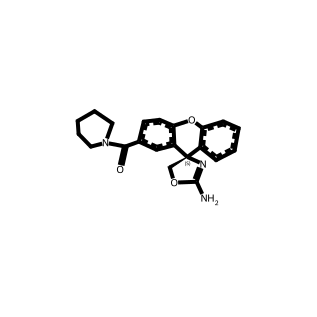 NC1=N[C@@]2(CO1)c1ccccc1Oc1ccc(C(=O)N3CCCCC3)cc12